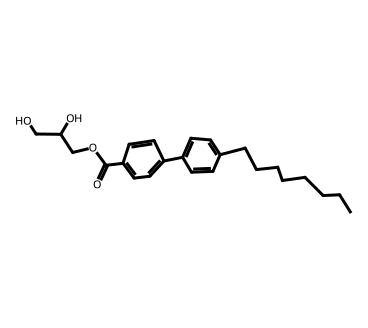 CCCCCCCCc1ccc(-c2ccc(C(=O)OCC(O)CO)cc2)cc1